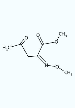 CO/N=C(/CC(C)=O)C(=O)OC